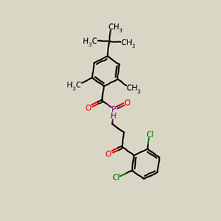 Cc1cc(C(C)(C)C)cc(C)c1C(=O)[PH](=O)CCC(=O)c1c(Cl)cccc1Cl